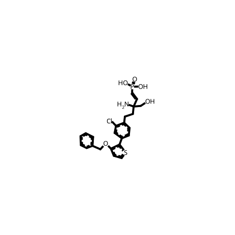 NC(C=CP(=O)(O)O)(CO)CCc1ccc(-c2sccc2OCc2ccccc2)cc1Cl